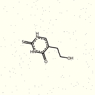 O=c1[nH]c(=S)[nH]cc1CCO